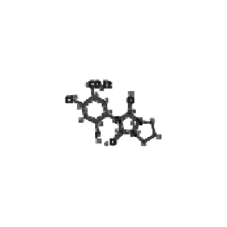 CCOC(=O)c1cc(-n2c(=O)n3n(c2=O)CCC3)c(F)cc1Cl